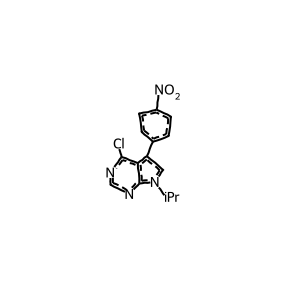 CC(C)n1cc(-c2ccc([N+](=O)[O-])cc2)c2c(Cl)ncnc21